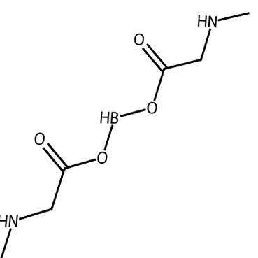 CNCC(=O)OBOC(=O)CNC